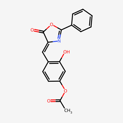 CC(=O)Oc1ccc(/C=C2\N=C(c3ccccc3)OC2=O)c(O)c1